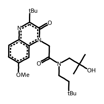 COc1ccc2nc(C(C)(C)C)c(=O)n(CC(=O)N(CCC(C)(C)C)CC(C)(C)O)c2c1